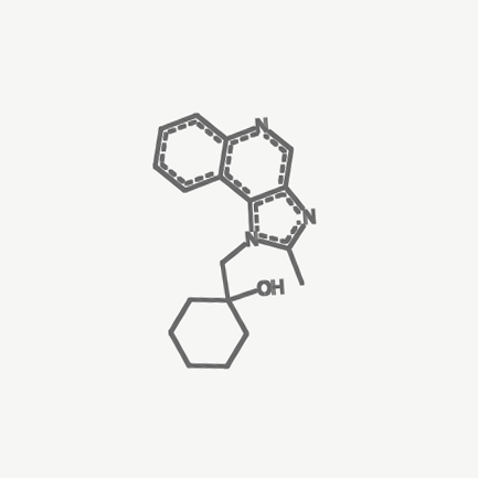 Cc1nc2cnc3ccccc3c2n1CC1(O)CCCCC1